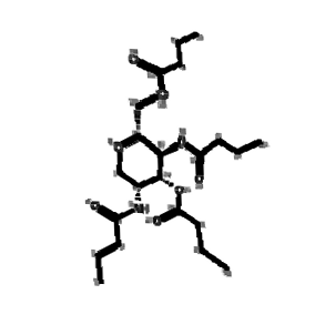 CCCC(=O)N[C@@H]1[CH]O[C@H](COC(=O)CCC)[C@@H](OC(=O)CCC)[C@@H]1OC(=O)CCC